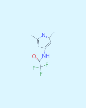 Cc1cc(NC(=O)C(F)(F)F)cc(C)n1